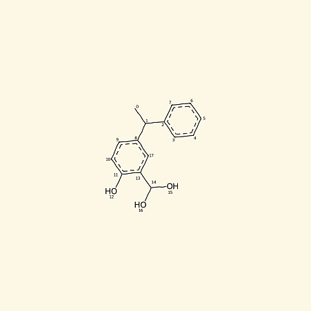 CC(c1ccccc1)c1ccc(O)c(C(O)O)c1